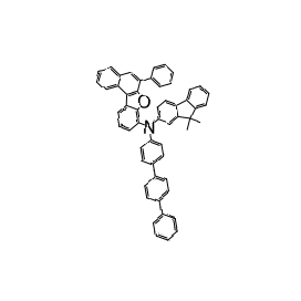 CC1(C)c2ccccc2-c2ccc(N(c3ccc(-c4ccc(-c5ccccc5)cc4)cc3)c3cccc4c3oc3c(-c5ccccc5)cc5ccccc5c34)cc21